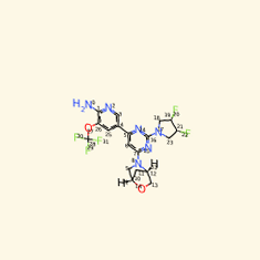 Nc1ncc(-c2cc(N3C[C@@H]4C[C@H]3CO4)nc(N3C[C@@H](F)[C@@H](F)C3)n2)cc1OC(F)(F)F